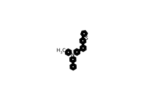 Cc1ccc(N(c2ccc(-c3ccccc3)cc2)c2ccc(-c3cccc(-c4ccc5c(c4)sc4ccccc45)c3)cc2)cc1